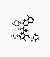 CCC(Nc1nc(N)nc(C)c1C=Cc1nnn[nH]1)c1cc2cccc(C)c2nc1N1CCOCC1